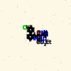 CCOC(=O)[C@H](C)N[C@@H](Cc1ccccc1-c1cccc(Cl)c1)C(=O)Nc1nnn[nH]1